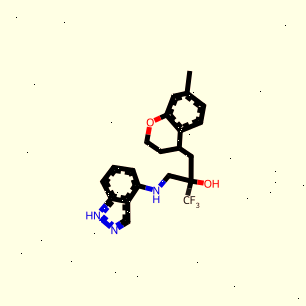 Cc1ccc2c(c1)OCCC2CC(O)(CNc1cccc2[nH]ncc12)C(F)(F)F